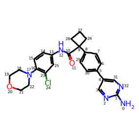 Nc1ncc(-c2ccc(C3(C(=O)Nc4ccc(N5CCOCC5)c(Cl)c4)CCC3)cc2)cn1